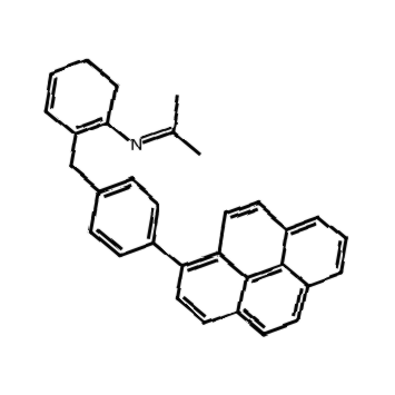 CC(C)=NC1=C(Cc2ccc(-c3ccc4ccc5cccc6ccc3c4c56)cc2)C=CCC1